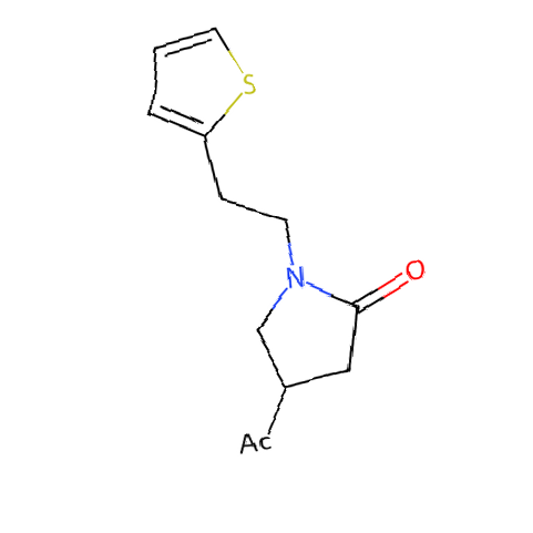 CC(=O)C1CC(=O)N(CCc2cccs2)C1